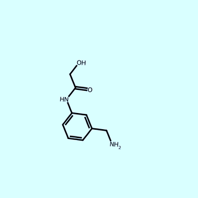 NCc1cccc(NC(=O)CO)c1